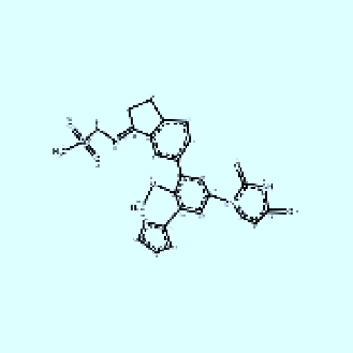 COc1c(-c2ccc3c(c2)/C(=N/NS(C)(=O)=O)CC3)cc(-n2ccc(=O)[nH]c2=O)cc1-c1ccco1